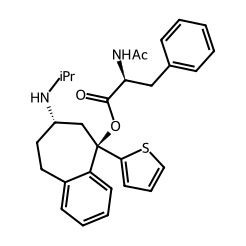 CC(=O)N[C@@H](Cc1ccccc1)C(=O)O[C@]1(c2cccs2)C[C@@H](NC(C)C)CCc2ccccc21